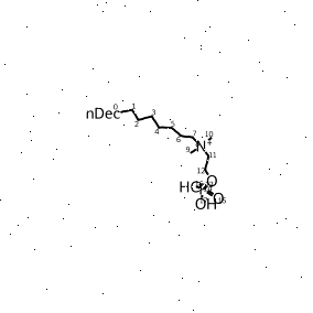 CCCCCCCCCCCCCCCCC[N+](C)(C)CCOP(=O)(O)O